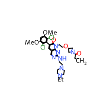 C=CC(=O)N1CC(OCCn2c(=O)c(-c3c(Cl)c(OC)cc(OC)c3Cl)cc3cnc(NCCN4CCN(CC)CC4)nc32)C1